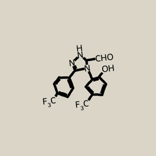 O=CC1NN=C(c2ccc(C(F)(F)F)cc2)N1c1cc(C(F)(F)F)ccc1O